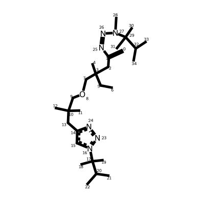 C=C(CC(C)(CC)COCC(C)(C)Cc1cn(C(C)(C)C(C)C)nn1)/N=N\N(C)C(C)(C)C(C)C